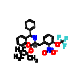 CC(C)(C)OC(=O)[C@H](Cc1cccc(OC(F)(F)F)c1[N+](=O)[O-])N=C(c1ccccc1)c1ccccc1